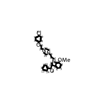 COc1cccc2c(C(=O)c3ccccc3)cn(CCCN3CCN(CCOc4ccc(Cl)cc4)CC3)c12